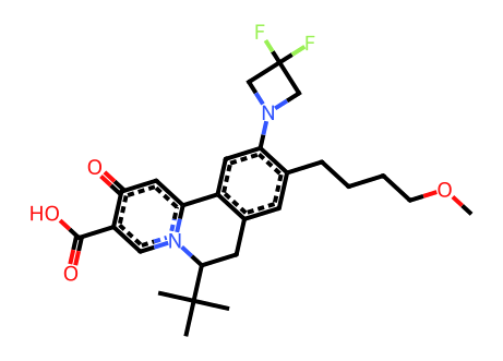 COCCCCc1cc2c(cc1N1CC(F)(F)C1)-c1cc(=O)c(C(=O)O)cn1C(C(C)(C)C)C2